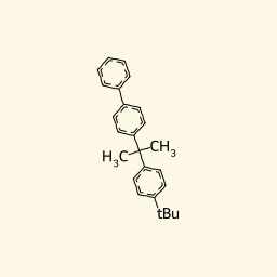 CC(C)(C)c1ccc(C(C)(C)c2ccc(-c3ccccc3)cc2)cc1